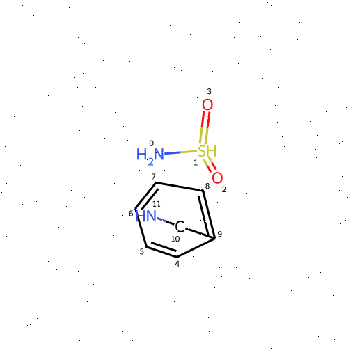 N[SH](=O)=O.c1cc2ccc1CN2